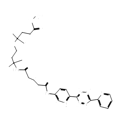 CC(C)(CCOC(C)(C)CCC(=O)OC(C)(C)C)NC(=O)CCCC(=O)Nc1ccc(-c2nnc(-c3ccccn3)nn2)nc1